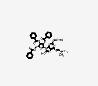 CCCCCSc1nc(/N=C/N(C)C)c2nc(O)n([C@@H]3O[C@H](COC(=O)c4ccccc4)[C@@H](OC(=O)c4ccccc4)[C@H]3OC(=O)c3ccccc3)c2n1